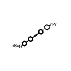 CCCCOc1ccc(-c2ccc(C#Cc3ccc([C@H]4CC[C@H](CCC)CC4)cc3)cc2)cc1